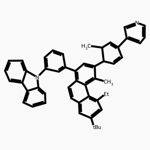 CCc1cc(C(C)(C)C)cc2ccc3c(-c4cccc(-n5c6ccccc6c6ccccc65)c4)cc(C4C=CC(c5cccnc5)=CC4C)c(C)c3c12